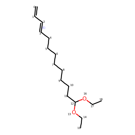 C=C/C=C/CCCCCCCCC(OCC)OCC